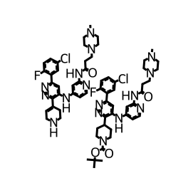 CN1CCN(CCC(=O)Nc2cc(Nc3cc(-c4cc(Cl)ccc4F)nnc3C3=CCNCC3)ccn2)CC1.CN1CCN(CCC(=O)Nc2cc(Nc3cc(-c4cc(Cl)ccc4F)nnc3C3CCN(C(=O)OC(C)(C)C)CC3)ccn2)CC1